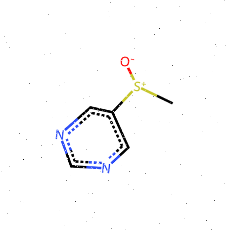 C[S+]([O-])c1cncnc1